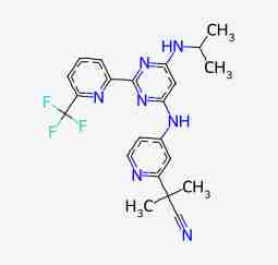 CC(C)Nc1cc(Nc2ccnc(C(C)(C)C#N)c2)nc(-c2cccc(C(F)(F)F)n2)n1